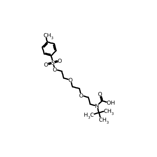 Cc1ccc(S(=O)(=O)OCCOCCOCCN(C(=O)O)C(C)(C)C)cc1